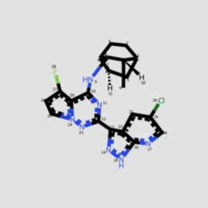 C[C@H]1C2CCC(CC2)[C@@H]1Nc1nc(-c2n[nH]c3ncc(Cl)cc23)nn2ccc(F)c12